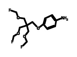 Nc1ccc(OCC(COCF)(COCF)COCF)cc1